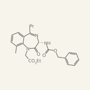 CCOC(=O)CN1C(=O)[C@@H](NC(=O)OCc2ccccc2)N=C(C(C)C)c2cccc(C)c21